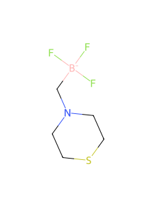 F[B-](F)(F)CN1CCSCC1